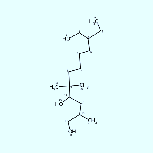 CCC(CO)CCCCC(C)(C)C(O)CC(C)CO